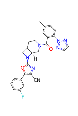 Cc1ccc(-n2nccn2)c(C(=O)N2CCC3CN(c4nc(C#N)c(-c5cccc(F)c5)o4)[C@@H]3C2)c1